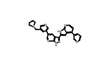 c1cncc(-c2ccnc3[nH]c(-c4n[nH]c5ncc(-c6cncc(CN7CCCC7)c6)cc45)cc23)c1